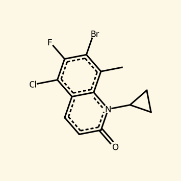 Cc1c(Br)c(F)c(Cl)c2ccc(=O)n(C3CC3)c12